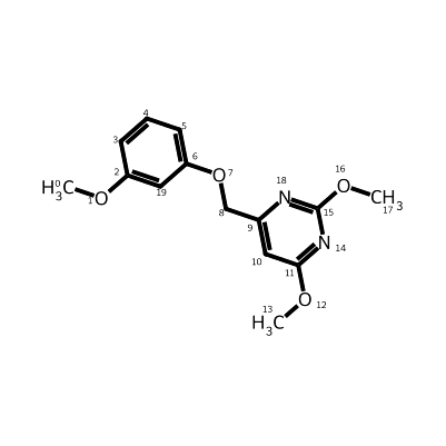 COc1cccc(OCc2cc(OC)nc(OC)n2)c1